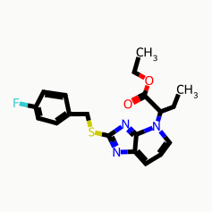 CCOC(=O)C(CC)n1cccc2nc(SCc3ccc(F)cc3)nc1-2